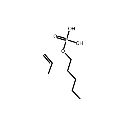 C=CC.CCCCCOP(=O)(O)O